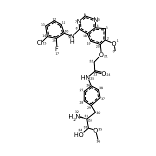 COc1cc2ncnc(Nc3cccc(Cl)c3F)c2cc1OCC(=O)Nc1ccc(C[C@H](N)C(O)OC)cc1